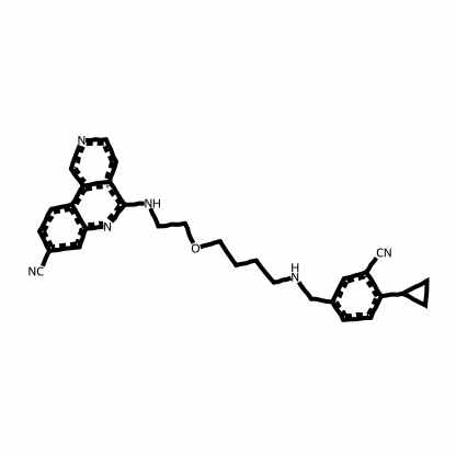 N#Cc1ccc2c(c1)nc(NCCOCCCCNCc1ccc(C3CC3)c(C#N)c1)c1ccncc12